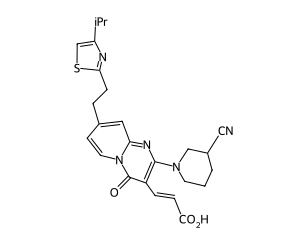 CC(C)c1csc(CCc2ccn3c(=O)c(/C=C/C(=O)O)c(N4CCCC(C#N)C4)nc3c2)n1